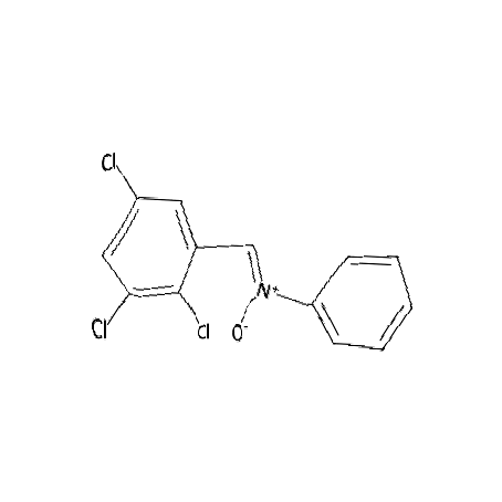 [O-][N+](=Cc1cc(Cl)cc(Cl)c1Cl)c1ccccc1